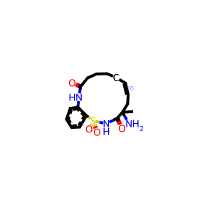 CC1(N)C/C=C\CCCCC(=O)Nc2ccccc2S(=O)(=O)NC1=O